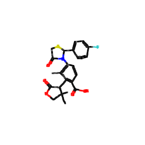 Cc1c(N2C(=O)CSC2c2ccc(F)cc2)ccc(C(=O)O)c1C1C(=O)OCC1(C)C